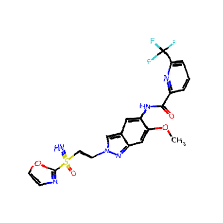 COc1cc2nn(CCS(=N)(=O)c3ncco3)cc2cc1NC(=O)c1cccc(C(F)(F)F)n1